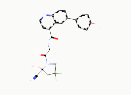 COc1ccc(-c2ccc3nccc(C(=O)NCC(=O)N4CC(F)(F)CC4(C#N)OC)c3c2)cc1